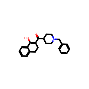 O=C(C1=C(O)c2ccccc2CC1)C1CCN(Cc2ccccc2)CC1